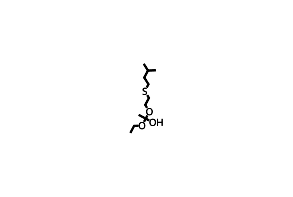 CCOC(C)(O)OCCSCCC(C)C